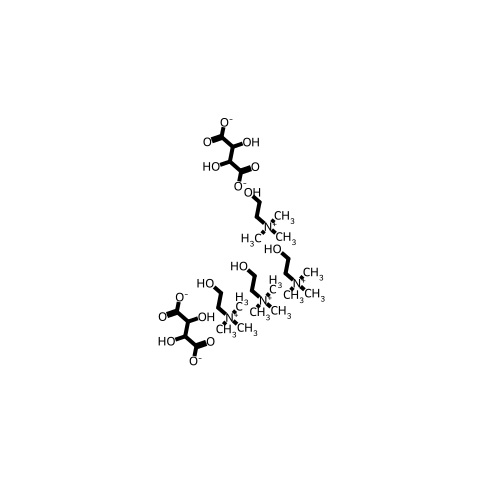 C[N+](C)(C)CCO.C[N+](C)(C)CCO.C[N+](C)(C)CCO.C[N+](C)(C)CCO.O=C([O-])C(O)C(O)C(=O)[O-].O=C([O-])C(O)C(O)C(=O)[O-]